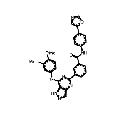 COc1ccc(Nc2nc(-c3cccc(C(=O)Nc4ccc(-c5cnco5)cc4)c3)nc3cn[nH]c23)cc1OC